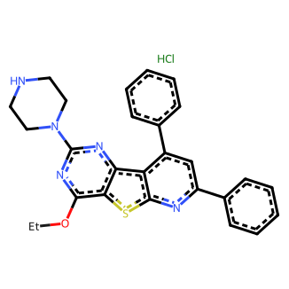 CCOc1nc(N2CCNCC2)nc2c1sc1nc(-c3ccccc3)cc(-c3ccccc3)c12.Cl